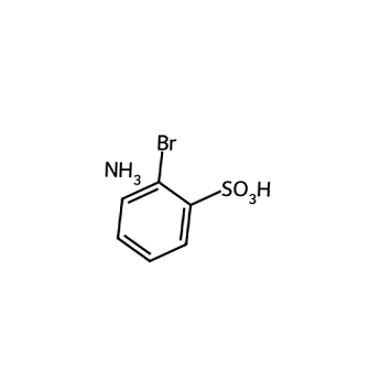 N.O=S(=O)(O)c1ccccc1Br